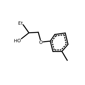 CCC(O)COc1cccc(C)c1